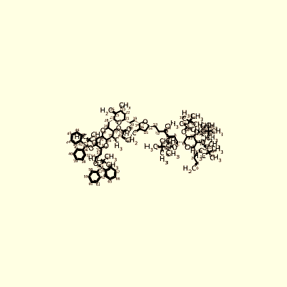 C=CCC[C@@H]1O[C@H](C(/C=C/C(=O)CC[C@H]2CC(=C)[C@H](CC[C@H]3C[C@@H](C)C(=C)[C@@H](CC4OC5CC(O[Si](c6ccccc6)(c6ccccc6)C(C)(C)C)C(CCO[Si](c6ccccc6)(c6ccccc6)C(C)(C)C)OC5C(C)C4OC(=O)C=C)O3)O2)O[Si](C)(C)C(C)(C)C)[C@@H](O[Si](C)(C)C(C)(C)C)[C@@H](O[Si](C)(C)C(C)(C)C)[C@H]1O[Si](C)(C)C(C)(C)C